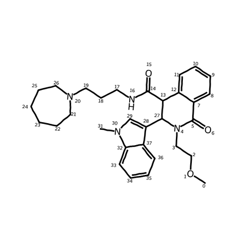 COCCN1C(=O)c2ccccc2C(C(=O)NCCCN2CCCCCC2)C1c1cn(C)c2ccccc12